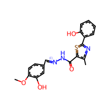 COc1ccc(/C=N/NC(=O)c2sc(-c3ccccc3O)nc2C)cc1O